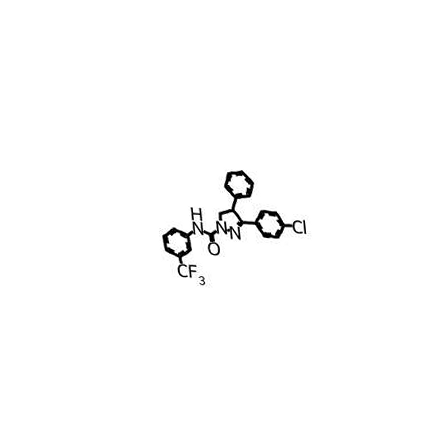 O=C(Nc1cccc(C(F)(F)F)c1)N1CC(c2ccccc2)C(c2ccc(Cl)cc2)=N1